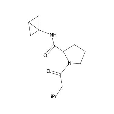 CC(C)CC(=O)N1CCCC1C(=O)NC12CC1C2